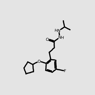 CC(C)NNC(=O)CCc1cc(F)ccc1OC1CCCC1